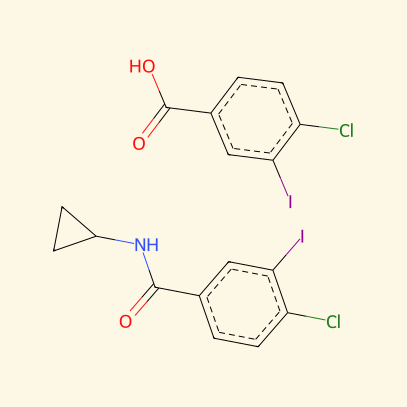 O=C(NC1CC1)c1ccc(Cl)c(I)c1.O=C(O)c1ccc(Cl)c(I)c1